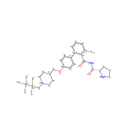 O=C(NC(=O)[C@@H]1CCCN1)c1c(F)cccc1-c1ccc(OCC2CCN(CC(F)(F)C(F)(F)F)CC2)cc1